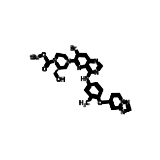 Cc1cc(Nc2ncnc3cc(Br)c(N4CCN(C(=O)OC(C)(C)C)[C@@H](CO)C4)nc23)ccc1Oc1ccn2ncnc2c1